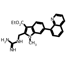 CCOC(=O)c1c(CNC(=N)N)n(C)c2cc(-c3cccc4cccnc34)ccc12